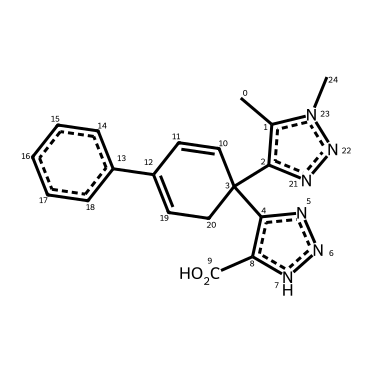 Cc1c(C2(c3nn[nH]c3C(=O)O)C=CC(c3ccccc3)=CC2)nnn1C